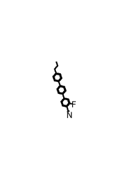 CCCc1ccc(-c2ccc(-c3ccc(C#N)c(F)c3)cc2)cc1